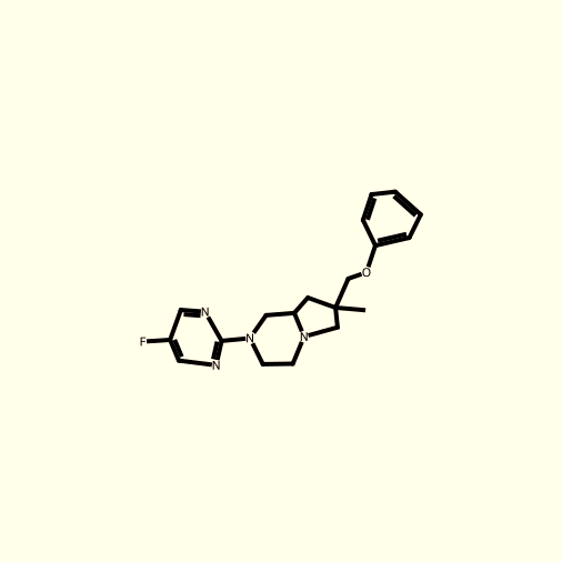 CC1(COc2ccccc2)CC2CN(c3ncc(F)cn3)CCN2C1